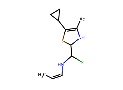 C/C=C\NC(F)C1NC(C(C)=O)=C(C2CC2)S1